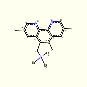 CC[N+](CC)(CC)Cc1c(C)c2cc(C)cnc2c2ncc(C)cc12